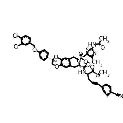 COC(=O)C(CC#Cc1ccc(C#N)cc1)NC(=O)[C@@H]1Cc2cc3c(cc2CN1S(=O)(=O)c1sc(NC(C)=O)nc1C)O[C@@H](c1ccc(OCc2ccc(Cl)c(Cl)c2)cc1)CO3